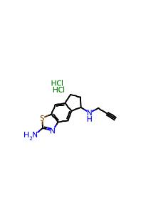 C#CCNC1CCc2cc3sc(N)nc3cc21.Cl.Cl